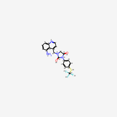 Nc1cccc2nccc(CN3CC(=O)N(c4ccc(SC(F)(F)F)cc4)C3=O)c12